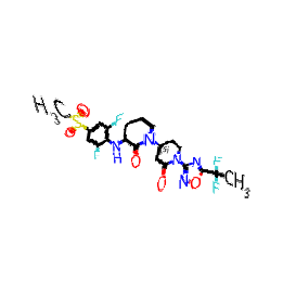 CC(F)(F)c1nc(N2CC[C@H](N3CCCC(Nc4c(F)cc(S(C)(=O)=O)cc4F)C3=O)CC2=O)no1